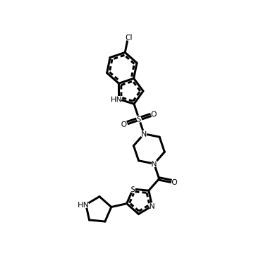 O=C(c1ncc(C2CCNC2)s1)N1CCN(S(=O)(=O)c2cc3cc(Cl)ccc3[nH]2)CC1